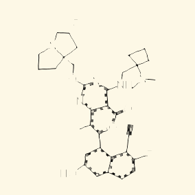 C#Cc1c(F)ccc2cc(O)cc(-c3oc(=O)c4c(NCC5(N(C)C)CCC5)nc(OC[C@@]56CCCN5C[C@H](F)C6)nc4c3C)c12